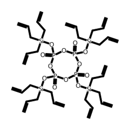 C=CC[Si](CC=C)(CC=C)OP1(=O)OP(=O)(O[Si](CC=C)(CC=C)CC=C)OP(=O)(O[Si](CC=C)(CC=C)CC=C)OP(=O)(O[Si](CC=C)(CC=C)CC=C)O1